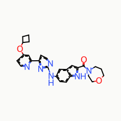 O=C(c1cc2cc(Nc3nccc(-c4cc(OC5CCC5)ccn4)n3)ccc2[nH]1)N1CCCOCC1